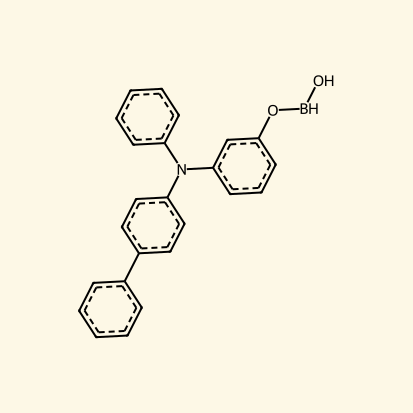 OBOc1cccc(N(c2ccccc2)c2ccc(-c3ccccc3)cc2)c1